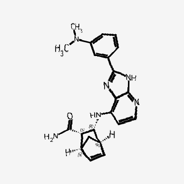 CN(C)c1cccc(-c2nc3c(N[C@H]4[C@@H](C(N)=O)[C@@H]5C=C[C@H]4C5)ccnc3[nH]2)c1